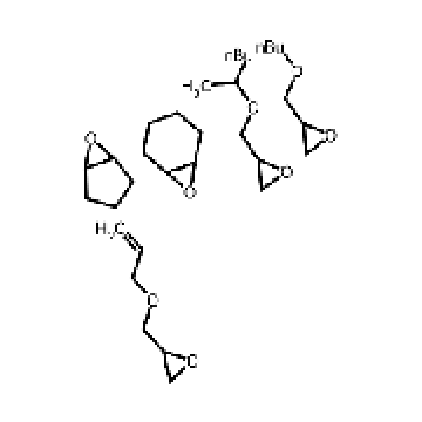 C1CC2OC2C1.C1CCC2OC2C1.C=CCOCC1CO1.CCCCC(C)OCC1CO1.CCCCOCC1CO1